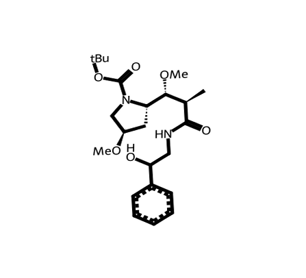 CO[C@@H]1C[C@@H]([C@H](OC)[C@@H](C)C(=O)NCC(O)c2ccccc2)N(C(=O)OC(C)(C)C)C1